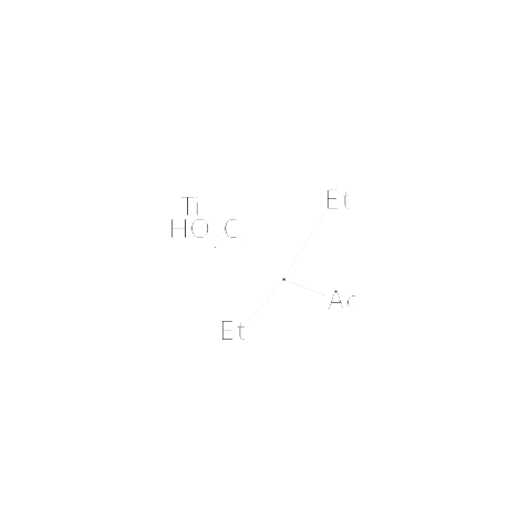 CCC(CC)(C(C)=O)C(=O)O.[Ti]